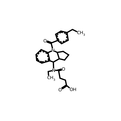 CCc1ccc(C(=O)N2c3ccccc3C(N(CC)C(=O)CCC(=O)O)C3CCCC32)cc1